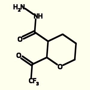 NNC(=O)C1CCCOC1C(=O)C(F)(F)F